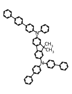 CC1(C)c2cc(N(c3ccccc3)c3ccc(-c4ccc(-c5ccccc5)cc4)cc3)ccc2-c2ccc(N(c3ccc(-c4ccccc4)cc3)c3ccc(-c4ccccc4)cc3)cc21